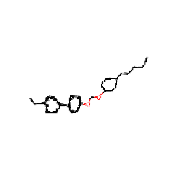 CCCCCC1CCC(OCOc2ccc(-c3ccc(CC)cc3)cc2)CC1